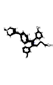 Cc1cccc(/C(CCCO)=C(\c2ccc(C3CCN(C)CC3)cc2)c2cccc(O)c2)c1